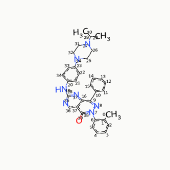 Cc1ccccc1-n1nc(-c2ccccc2)c2nc(Nc3ccc(N4CCN(C(C)C)CC4)cc3)ncc2c1=O